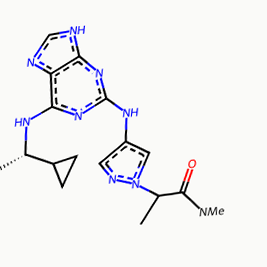 CNC(=O)C(C)n1cc(Nc2nc(N[C@@H](C)C3CC3)c3nc[nH]c3n2)cn1